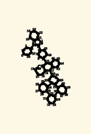 c1ccc(-n2c(-c3ccc(-c4c5ccccc5c(-c5ccc6c(c5)-c5ccccc5-c5ccccc5-c5ccccc5-6)c5ccccc45)cc3)nc3ccccc32)cc1